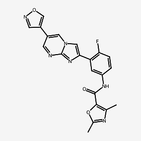 Cc1nc(C)c(C(=O)Nc2ccc(F)c(-c3cn4cc(-c5cnoc5)cnc4n3)c2)o1